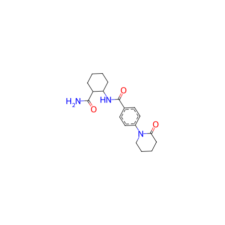 NC(=O)C1CCCCC1NC(=O)c1ccc(N2CCCCC2=O)cc1